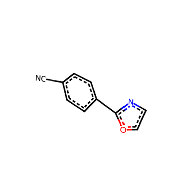 N#Cc1ccc(-c2ncco2)cc1